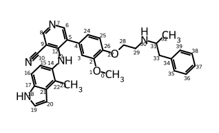 COc1cc(-c2cncc(C#N)c2Nc2ccc3[nH]ccc3c2C)ccc1OCCNC(C)Cc1ccccc1